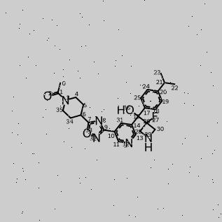 CC(=O)N1CCC(c2nc(-c3cncc(C(O)(c4ccc(C(C)C)cc4)C4(F)CNC4)c3)no2)CC1